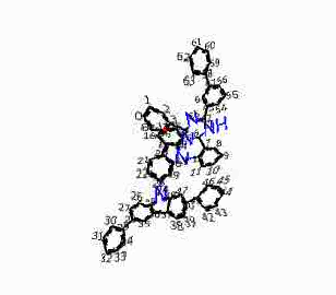 c1ccc(C2=NC(c3ccccc3-n3c4ccccc4c4ccc(-n5c6ccc(-c7ccccc7)cc6c6ccc(-c7ccccc7)cc65)cc43)NC(c3cccc(-c4ccccc4)c3)=N2)cc1